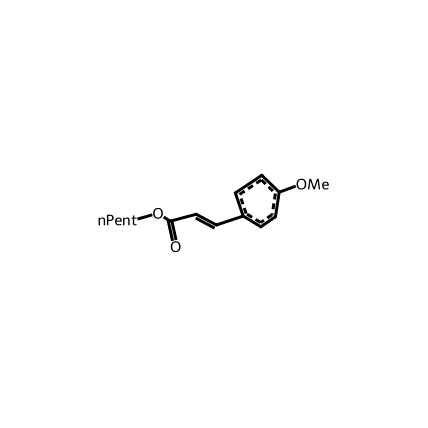 CCCCCOC(=O)/C=C/c1ccc(OC)cc1